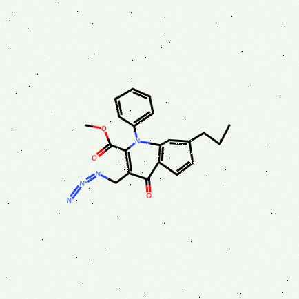 CCCc1ccc2c(=O)c(CN=[N+]=[N-])c(C(=O)OC)n(-c3ccccc3)c2c1